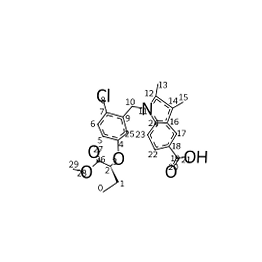 CC[C@H](Oc1ccc(Cl)c(Cn2c(C)c(C)c3cc(C(=O)O)ccc32)c1)C(=O)OC